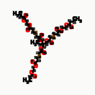 C=CC(=O)OCCOC(=O)CCSCC(=O)OCC(CC)(COC(=O)CSCCC(=O)OCCOC(=O)C=C)COC(=O)CSCCC(=O)OCCOC(=O)CCC